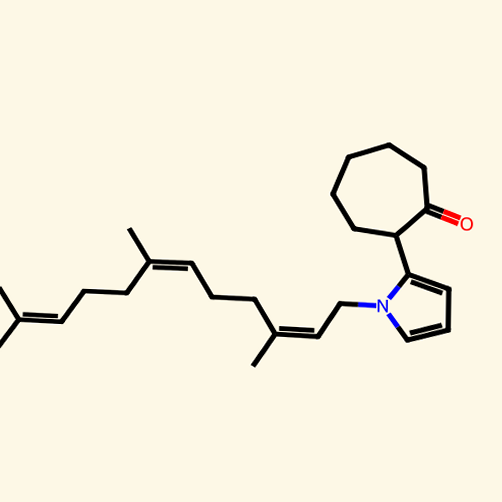 CC(C)=CCCC(C)=CCCC(C)=CCn1cccc1C1CCCCCC1=O